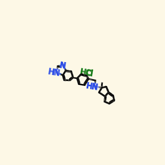 CC1(NCc2ccc(-c3ccc4[nH]cnc4c3)cc2)Cc2ccccc2C1.Cl